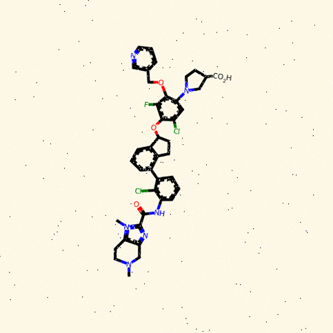 CN1CCc2c(nc(C(=O)Nc3cccc(-c4cccc5c4CCC5Oc4c(Cl)cc(N5CCC(C(=O)O)C5)c(OCc5cccnc5)c4F)c3Cl)n2C)C1